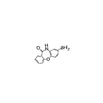 Bc1ccc2c(c1)NC(=O)c1ccccc1O2